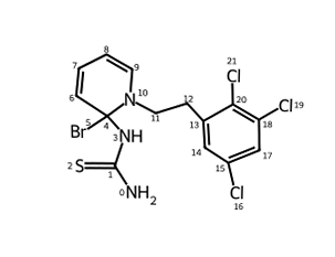 NC(=S)NC1(Br)C=CC=CN1CCc1cc(Cl)cc(Cl)c1Cl